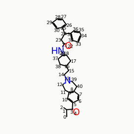 CC(C)C(=O)c1ccc2c(c1)CCN(CCC1CCC(NC(=O)CC(c3ccccc3)c3ccccc3)CC1)CC2